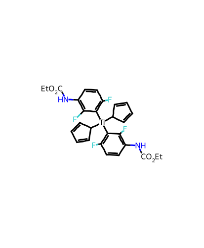 CCOC(=O)Nc1ccc(F)[c]([Ti]([c]2c(F)ccc(NC(=O)OCC)c2F)([CH]2C=CC=C2)[CH]2C=CC=C2)c1F